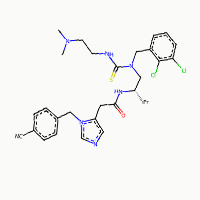 CC(C)[C@@H](CN(Cc1cccc(Cl)c1Cl)C(=S)NCCN(C)C)NC(=O)Cc1cncn1Cc1ccc(C#N)cc1